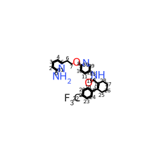 Nc1cccc(CCOc2ccc(NC(=O)C3=C(c4ccc(C(F)(F)F)cc4)CCCC3)cn2)n1